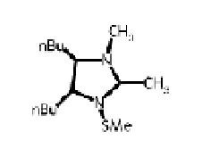 CCCCC1C(CCCC)N(SC)C(C)N1C